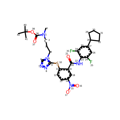 CN(CCCn1cnnc1Sc1ccc([N+](=O)[O-])cc1C(=O)Nc1c(F)cc(C2CCCC2)cc1F)C(=O)OC(C)(C)C